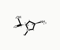 CN1C[C@H](N)C[C@H]1C(=O)O